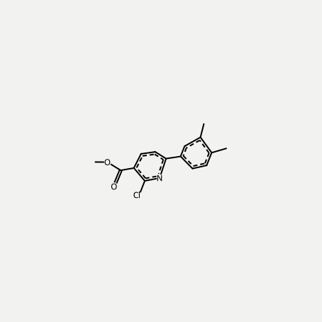 COC(=O)c1ccc(-c2ccc(C)c(C)c2)nc1Cl